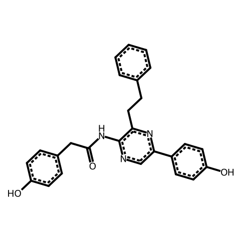 O=C(Cc1ccc(O)cc1)Nc1ncc(-c2ccc(O)cc2)nc1CCc1ccccc1